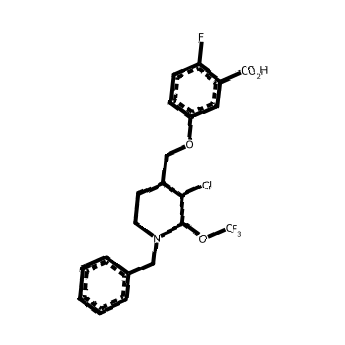 O=C(O)c1cc(OCC2CCN(Cc3ccccc3)C(OC(F)(F)F)C2Cl)ccc1F